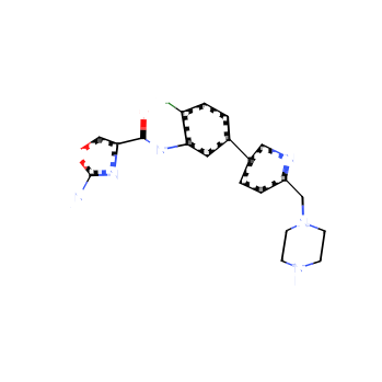 Nc1nc(C(=O)Nc2cc(-c3ccc(CN4CCNCC4)nc3)ccc2Cl)co1